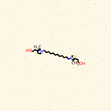 CC1=C(CCO)CC=[N+]1CCCCCCCCCCCC[n+]1csc(CCO)c1C